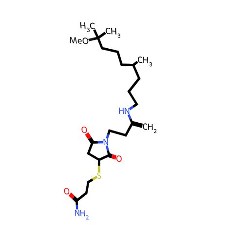 C=C(CCN1C(=O)CC(SCCC(N)=O)C1=O)NCCCC(C)CCCC(C)(C)OC